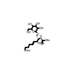 CCCCCCCCCCCCC/C=C/[C@@H](OC)[C@H](COC1OC(CO)C(O)C(O)C1O)NC(=O)CCCC